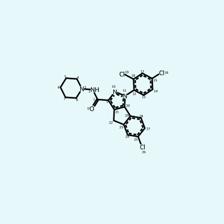 O=C(NN1CCCCC1)c1nn(-c2ccc(Cl)cc2Cl)c2c1Cc1cc(Cl)ccc1-2